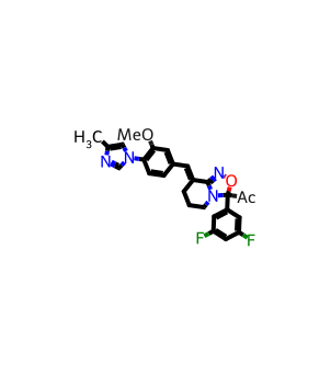 COc1cc(/C=C2\CCCN3C2=NOC3(C(C)=O)c2cc(F)cc(F)c2)ccc1-n1cnc(C)c1